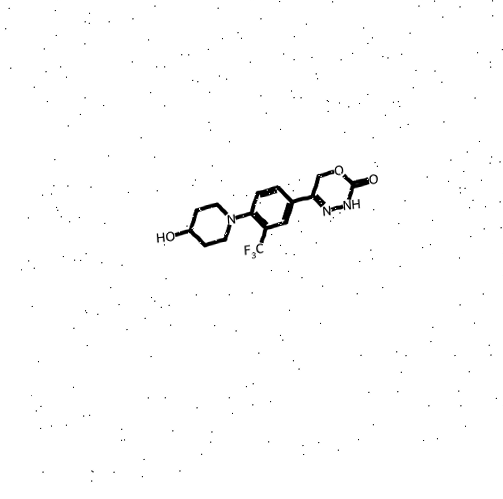 O=C1NN=C(c2ccc(N3CCC(O)CC3)c(C(F)(F)F)c2)CO1